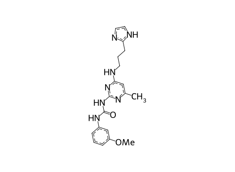 COc1cccc(NC(=O)Nc2nc(C)cc(NCCCc3ncc[nH]3)n2)c1